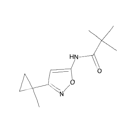 CC(C)(C)C(=O)Nc1cc(C2(C)CC2)no1